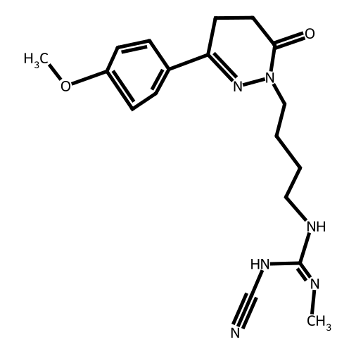 C/N=C(\NC#N)NCCCCN1N=C(c2ccc(OC)cc2)CCC1=O